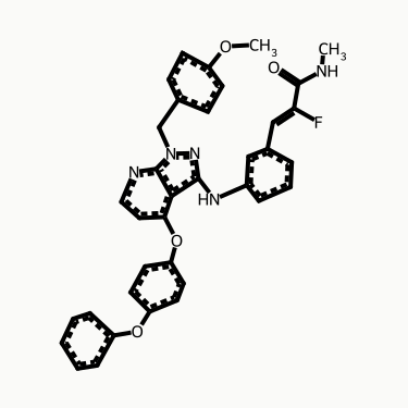 CNC(=O)/C(F)=C/c1cccc(Nc2nn(Cc3ccc(OC)cc3)c3nccc(Oc4ccc(Oc5ccccc5)cc4)c23)c1